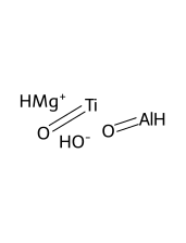 [MgH+].[OH-].[O]=[AlH].[O]=[Ti]